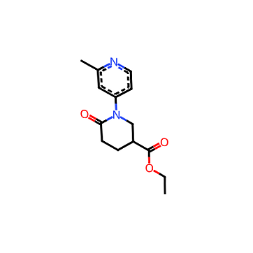 CCOC(=O)C1CCC(=O)N(c2ccnc(C)c2)C1